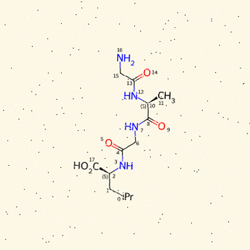 CC(C)C[C@H](NC(=O)CNC(=O)[C@H](C)NC(=O)CN)C(=O)O